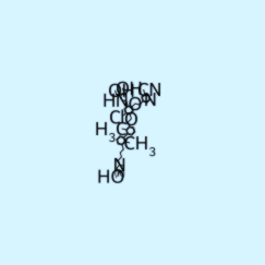 Cc1c(CCCCN2CC[C@@H](O)C2)cccc1-c1cccc(COc2cc(OCc3cncc(C#N)c3)c(CNC(CO)CO)cc2Cl)c1C